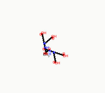 COC(=O)c1cc(C(=O)NCCCN(CCCCCCCCC(=O)O)CCCCCCCCC(=O)O)cc(C(=O)NCCCN(CCCCCCCCC(=O)O)CCCCCCCCC(=O)O)c1